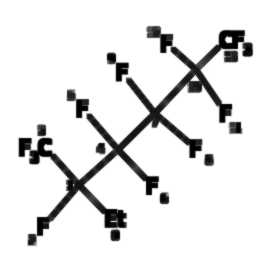 CCC(F)(C(F)(F)F)C(F)(F)C(F)(F)C(F)(F)C(F)(F)F